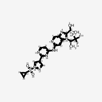 C[C@@H](O)c1nc2cnc(Nc3ccnc(-c4cnn(S(=O)(=O)C5CC5)c4)n3)cc2n1[C@H](C)C(F)(F)F